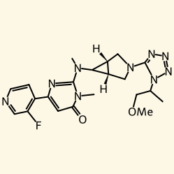 COCC(C)n1nnnc1N1C[C@@H]2C(N(C)c3nc(-c4ccncc4F)cc(=O)n3C)[C@@H]2C1